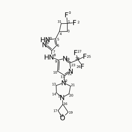 FC1(F)CC(c2cc(Nc3cc(N4CCN(C5COC5)CC4)nc(C(F)(F)F)n3)n[nH]2)C1